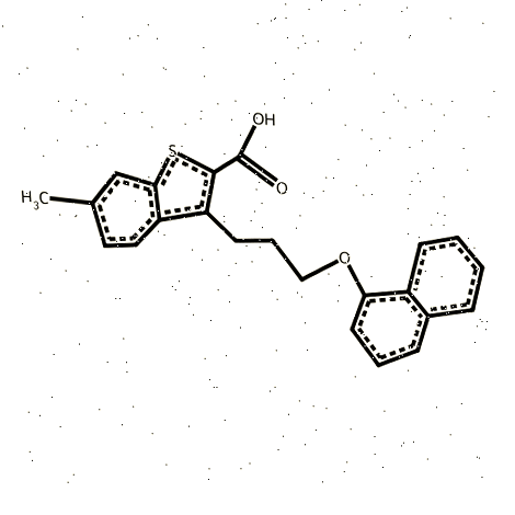 Cc1ccc2c(CCCOc3cccc4ccccc34)c(C(=O)O)sc2c1